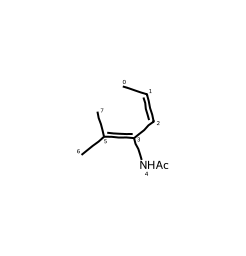 C/C=C\C(NC(C)=O)=C(C)C